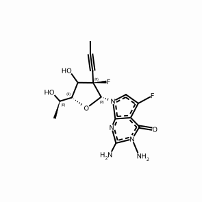 CC#C[C@@]1(F)C(O)[C@@H]([C@@H](C)O)O[C@H]1n1cc(F)c2c(=O)n(N)c(N)nc21